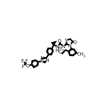 CCCc1ccc(C)cc1N1C(=O)CS/C1=N\C(=O)NC1(c2ccc(-c3ncn(-c4ccc(OC(F)(F)F)cc4)n3)cc2)CC1